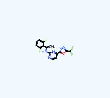 CC(Nc1nccc(-c2nnc(C(F)F)o2)n1)c1c(F)cccc1F